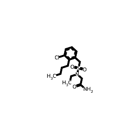 CCCCc1c(Cl)cccc1CS(=O)(=O)N(CC)CC(N)=O